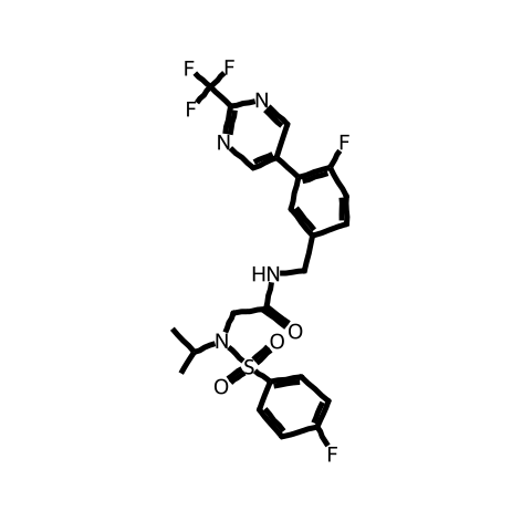 CC(C)N(CC(=O)NCc1ccc(F)c(-c2cnc(C(F)(F)F)nc2)c1)S(=O)(=O)c1ccc(F)cc1